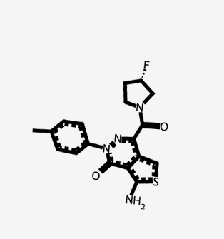 Cc1ccc(-n2nc(C(=O)N3CC[C@H](F)C3)c3csc(N)c3c2=O)cc1